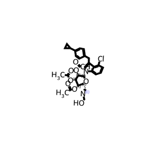 CC(=O)O[C@@H]1[C@@H](OC(C)=O)[C@H](n2cc(Cc3ccc(C4CC4)cc3)c3c(Cl)cccc32)O[C@H](/C=N/CO)[C@H]1OC(C)=O